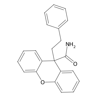 NC(=O)C1(CCc2ccccc2)c2ccccc2Oc2ccccc21